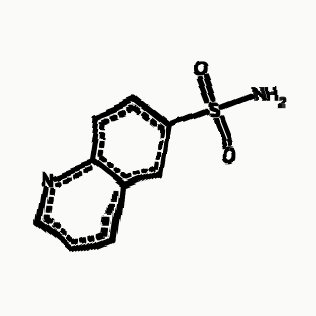 NS(=O)(=O)c1ccc2ncccc2c1